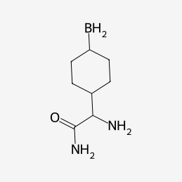 BC1CCC(C(N)C(N)=O)CC1